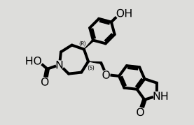 O=C1NCc2ccc(OC[C@H]3CCN(C(=O)O)CC[C@H]3c3ccc(O)cc3)cc21